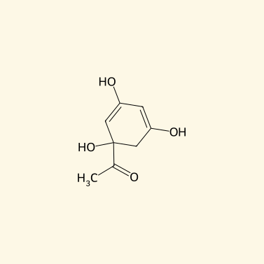 CC(=O)C1(O)C=C(O)C=C(O)C1